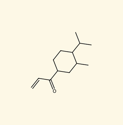 C=CC(=O)C1CCC(C(C)C)C(C)C1